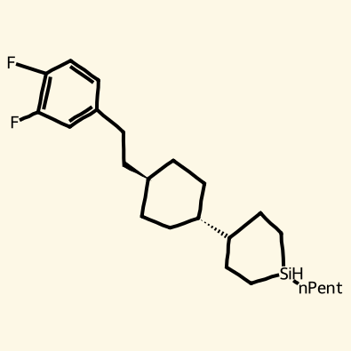 CCCCC[SiH]1CCC([C@H]2CC[C@H](CCc3ccc(F)c(F)c3)CC2)CC1